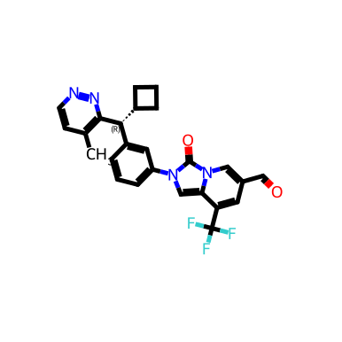 Cc1ccnnc1[C@@H](c1cccc(-n2cc3c(C(F)(F)F)cc(C=O)cn3c2=O)c1)C1CCC1